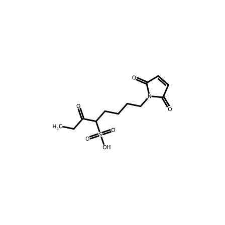 CCC(=O)C(CCCCN1C(=O)C=CC1=O)S(=O)(=O)O